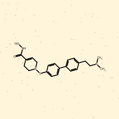 CN(C)CCc1ccc(-c2ccc(SN3CC=C(C(=O)NO)CC3)cc2)cc1